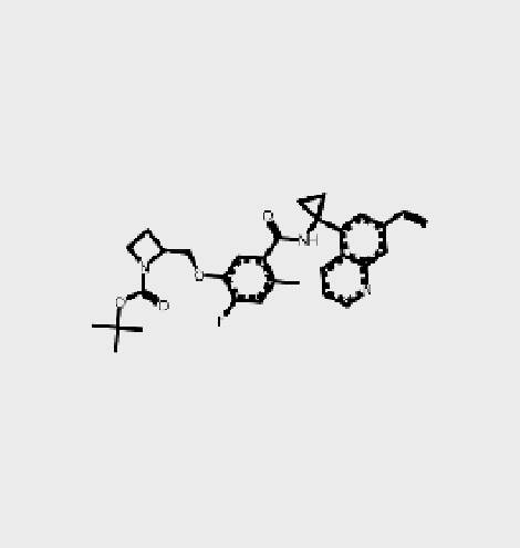 C=Cc1cc(C2(NC(=O)c3cc(OC[C@@H]4CCN4C(=O)OC(C)(C)C)c(F)cc3C)CC2)c2cccnc2c1